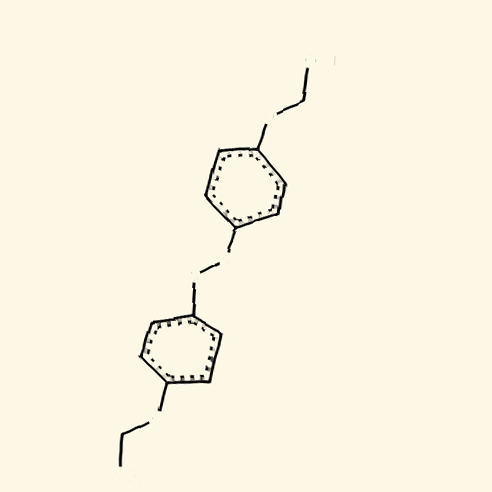 O=C(O)COc1ccc(SSc2ccc(OCC(=O)O)cc2)cc1